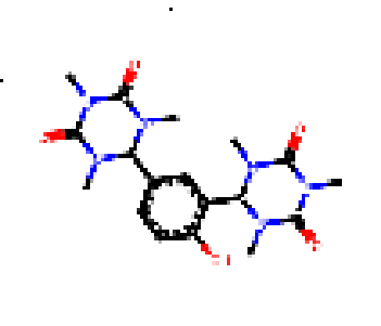 CN1C(=O)N(C)C(c2ccc(O)c(C3N(C)C(=O)N(C)C(=O)N3C)c2)N(C)C1=O